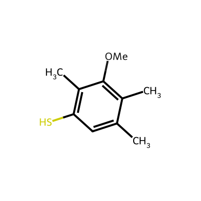 COc1c(C)c(C)cc(S)c1C